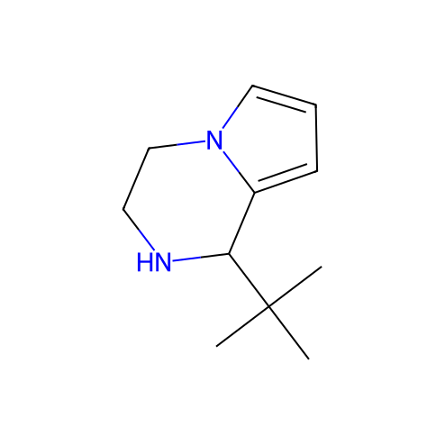 CC(C)(C)C1NCCn2cccc21